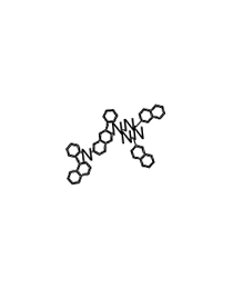 c1ccc2cc(-c3nc(-c4ccc5ccccc5c4)nc(-n4c5ccccc5c5cc6cc(-n7c8ccccc8c8c9ccccc9ccc87)ccc6cc54)n3)ccc2c1